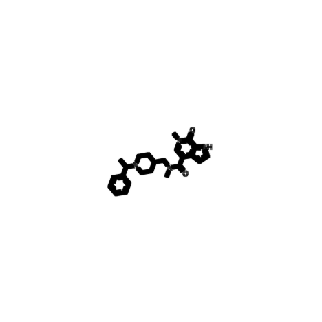 CC(c1ccccc1)N1CCC(CN(C)C(=O)c2cn(C)c(=O)c3[nH]ccc23)CC1